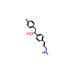 Cc1ccc(CC(O)c2ccc(/C=C/CN(C)C)cc2)cc1